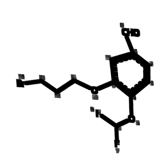 O=Cc1ccc(OC(F)F)c(OCCCBr)c1